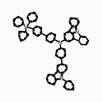 C1=CCC2C(=C1)n1c3ccccc3c3cc(N(c4ccc(-c5ccc([Si](c6ccccc6)(c6ccccc6)c6ccccc6)cc5)cc4)c4ccc(-c5ccc6c(c5)c5ccccc5n6-c5ccccc5)cc4)cc2c31